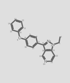 CCn1nc(-c2ccc(Oc3ccccc3)cc2)c2cnccc21